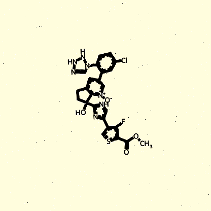 COC(=O)c1scc(-c2c[nH]c(C3(O)CCc4cc(-c5cc(Cl)ccc5N5C=NNN5)c[n+]([O-])c43)n2)c1F